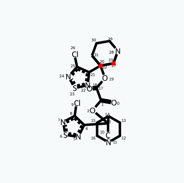 O=C(OC1(c2nsnc2Cl)CN2CCC1CC2)C(=O)OC1(c2nsnc2Cl)CN2CCC1CC2